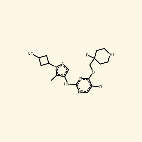 Cc1c(Nc2ncc(Cl)c(OCC3(F)CCNCC3)n2)cnn1C1CC(C#N)C1